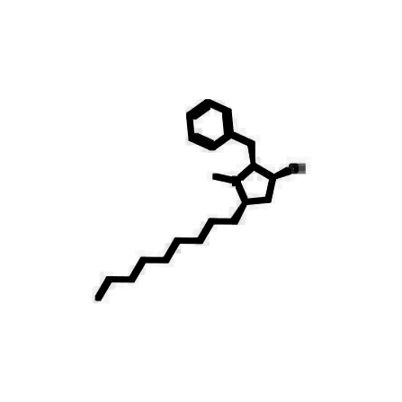 CCCCCCCCC[C@@H]1C[C@H](O)[C@H](Cc2ccccc2)N1C